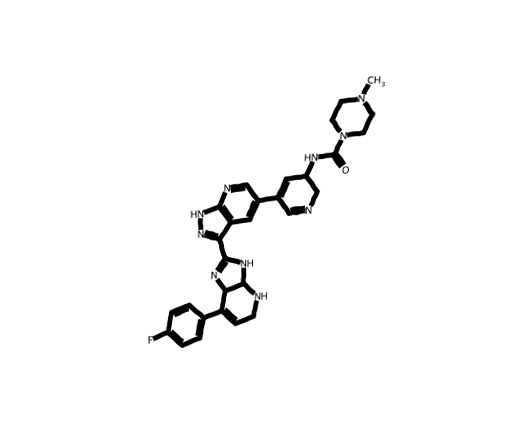 CN1CCN(C(=O)NC2C=C(c3cnc4[nH]nc(C5=NC6C(c7ccc(F)cc7)=CCNC6N5)c4c3)C=NC2)CC1